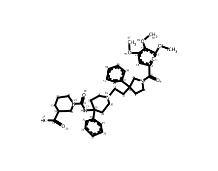 COc1cc(C(=O)N2CCC(CCN3CCC(NC(=O)N4CCCC(C(=O)O)C4)(c4ccccc4)CC3)(c3ccccc3)C2)cc(OC)c1OC